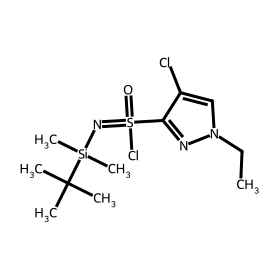 CCn1cc(Cl)c(S(=O)(Cl)=N[Si](C)(C)C(C)(C)C)n1